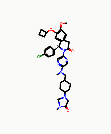 COc1cc2c(cc1OC1CCC1)[C@H](c1ccc(Cl)cc1)N(c1cnc(N(C)CC3CCC(N4CC(=O)N(C)C4)CC3)cn1)C(=O)C2